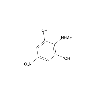 CC(=O)Nc1c(O)cc([N+](=O)[O-])cc1O